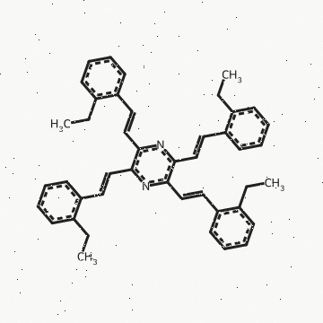 CCc1ccccc1/C=C/c1nc(/C=C/c2ccccc2CC)c(/C=C/c2ccccc2CC)nc1/C=C/c1ccccc1CC